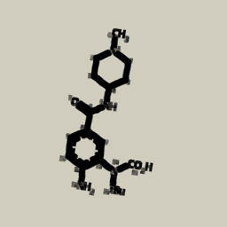 CN1CCC(NC(=O)c2ccc(N)c(N(C(=O)O)C(C)(C)C)c2)CC1